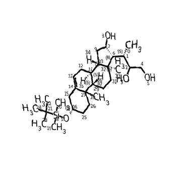 C[C@H](C(O)CO)[C@H]1C(O)C[C@H]2[C@@H]3CC=C4C[C@@H](O[Si](C)(C)C(C)(C)C)CCC4(C)[C@H]3CC[C@]12C